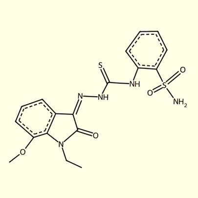 CCN1C(=O)C(=NNC(=S)Nc2ccccc2S(N)(=O)=O)c2cccc(OC)c21